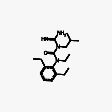 CCc1cccc(CC)c1N(CC)C(=O)N(CC(C)C)C(=N)N